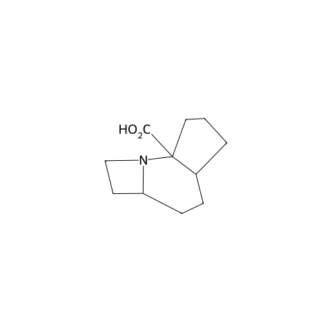 O=C(O)C12CCCC1CCC1CCN12